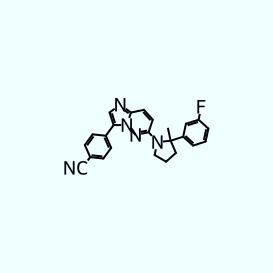 CC1(c2cccc(F)c2)CCCN1c1ccc2ncc(-c3ccc(C#N)cc3)n2n1